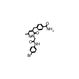 Cc1cc(Cc2ccc(C(N)=O)cc2)c(=O)n(CC(=O)Nc2ccc(Br)cc2)n1